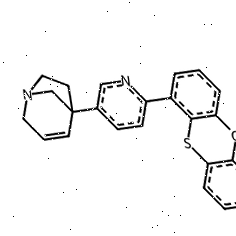 C1=CC2(c3ccc(-c4cccc5c4Sc4ccccc4O5)nc3)CCN(C1)C2